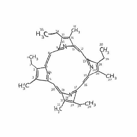 CCC1=C(C)C2=NC1=CC1=NC(=CC3=NC(=CC4=NC(=C2)C(C)=C4CC)C(C)=C3CC)C(C)=C1CC